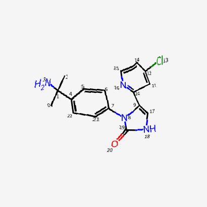 CC(C)(N)c1ccc(-n2c(-c3cc(Cl)ccn3)c[nH]c2=O)cc1